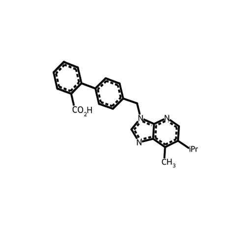 Cc1c(C(C)C)cnc2c1ncn2Cc1ccc(-c2ccccc2C(=O)O)cc1